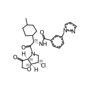 CC1CCC([C@H](NC(=O)c2cccc(-n3cccn3)c2)C(=O)N2C[C@H](Cl)[C@H]3OCC(=O)[C@H]32)CC1